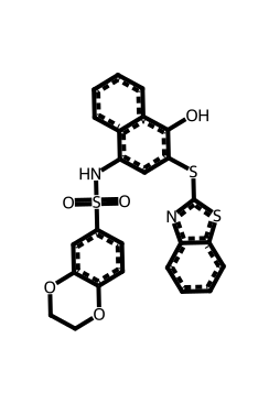 O=S(=O)(Nc1cc(Sc2nc3ccccc3s2)c(O)c2ccccc12)c1ccc2c(c1)OCCO2